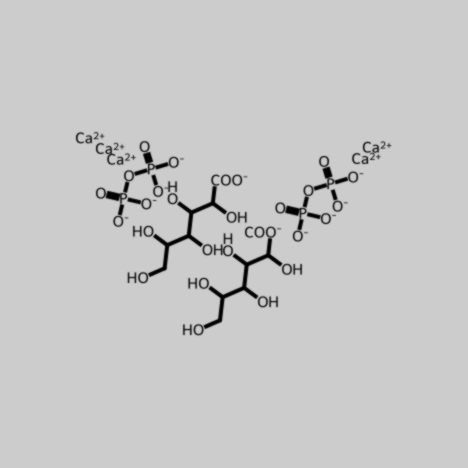 O=C([O-])C(O)C(O)C(O)C(O)CO.O=C([O-])C(O)C(O)C(O)C(O)CO.O=P([O-])([O-])OP(=O)([O-])[O-].O=P([O-])([O-])OP(=O)([O-])[O-].[Ca+2].[Ca+2].[Ca+2].[Ca+2].[Ca+2]